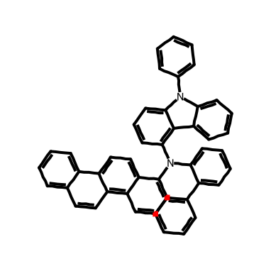 c1ccc(-c2ccccc2N(c2cccc3c2ccc2c4ccccc4ccc32)c2cccc3c2c2ccccc2n3-c2ccccc2)cc1